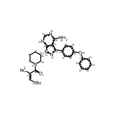 CC(C)(C)/C=C(/C#N)C(=O)N1CCC[C@H](n2nc(-c3ccc(Oc4ccccc4)cc3)c3c(N)ncnc32)C1